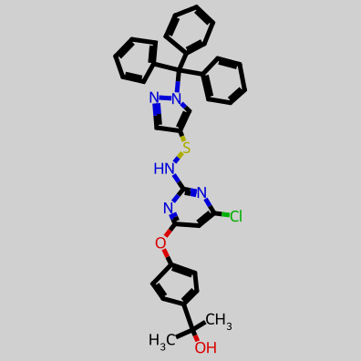 CC(C)(O)c1ccc(Oc2cc(Cl)nc(NSc3cnn(C(c4ccccc4)(c4ccccc4)c4ccccc4)c3)n2)cc1